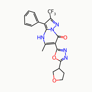 Cc1[nH]c2c(-c3ccccc3)c(C(F)(F)F)nn2c(=O)c1-c1nnc(C2CCOC2)o1